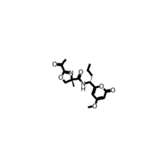 CCC[C@@H](NC(=O)[C@]1(C)COC(C(C)=O)=N1)c1cc(OC)cc(=O)o1